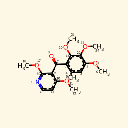 COc1cc(C)c(C(=O)c2c(OC)ccnc2OC)c(OC)c1OC